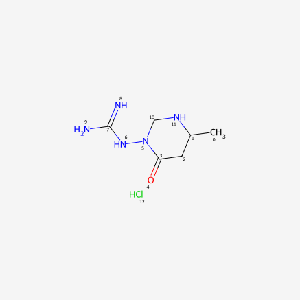 CC1CC(=O)N(NC(=N)N)CN1.Cl